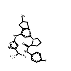 CC(C)c1cc(Nc2nc(N3CCCC3C(=O)Nc3ccc(F)cc3)nc3c2CC(O)C3)n[nH]1